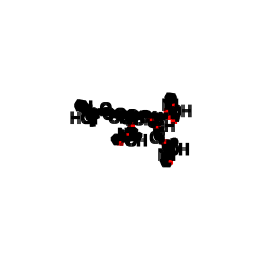 CC(C)(C)c1cc(CCC(=O)CC(COCC(O)COCC(COCC(O)COC(=O)CCc2cc(-n3nc4ccccc4n3)c(O)c(C(C)(C)C)c2)OC(=O)CCc2cc(-n3nc4ccccc4n3)c(O)c(C(C)(C)C)c2)COCC(O)COC(=O)CCc2cc(-n3nc4ccccc4n3)c(O)c(C(C)(C)C)c2)cc(-n2nc3ccccc3n2)c1O